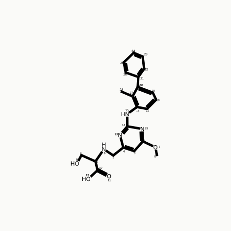 COc1cc(CNC(CO)C(=O)O)nc(Nc2cccc(-c3ccccc3)c2C)n1